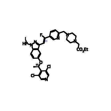 CCOC(=O)CN1CCN(Cc2ccc(/C(F)=C/c3nn(PI)c4ccc(O[C@H](C)c5c(Cl)cncc5Cl)cc34)cn2)CC1